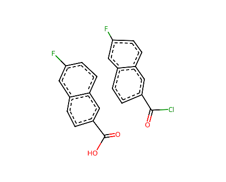 O=C(Cl)c1ccc2cc(F)ccc2c1.O=C(O)c1ccc2cc(F)ccc2c1